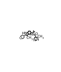 Cc1ncncc1C(=O)NC1(c2ccc3[nH]c(C4CCOCC4)c(C)c3c2)CC1